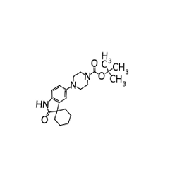 CC(C)(C)OC(=O)N1CCN(c2ccc3c(c2)C2(CCCCC2)C(=O)N3)CC1